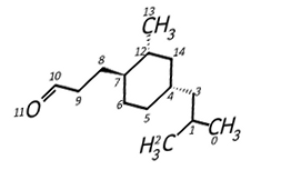 CC(C)C[C@@H]1CC[C@@H](CCC=O)[C@H](C)C1